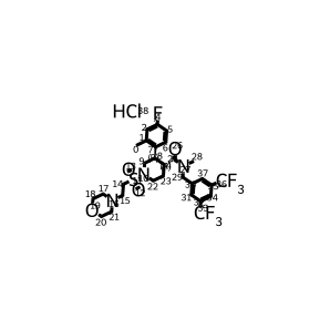 Cc1cc(F)ccc1[C@@H]1CN(S(=O)(=O)CCN2CCOCC2)CC[C@H]1C(=O)N(C)Cc1cc(C(F)(F)F)cc(C(F)(F)F)c1.Cl